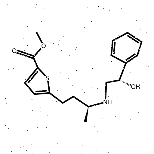 COC(=O)c1ccc(CC[C@H](C)NC[C@@H](O)c2ccccc2)s1